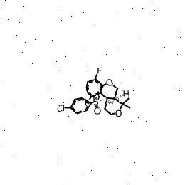 CC1(C)OCC[C@@]2(S(=O)(=O)c3ccc(Cl)cc3)c3c(F)ccc(F)c3OC[C@@H]12